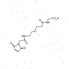 O=C(O)CNC(=O)CCOCCNC(=O)CN1C(=O)C=CC1=O